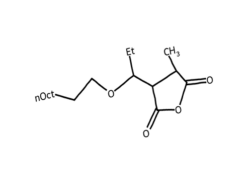 CCCCCCCCCCOC(CC)C1C(=O)OC(=O)C1C